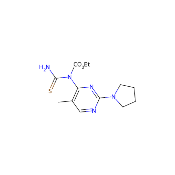 CCOC(=O)N(C(N)=S)c1nc(N2CCCC2)ncc1C